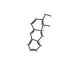 [CH2]Cc1ccc2cc3ccccc3cc2c1C